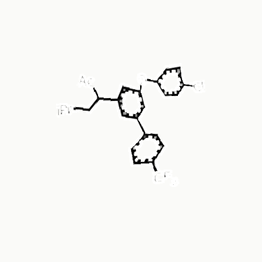 CC(=O)C(CC(C)C)c1cc(Oc2ccc(Cl)cc2)cc(-c2ccc(C(F)(F)F)cc2)c1